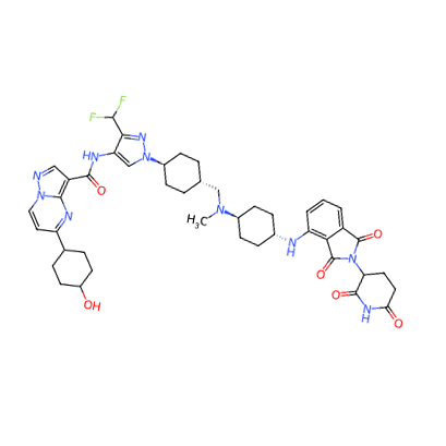 CN(C[C@H]1CC[C@H](n2cc(NC(=O)c3cnn4ccc(C5CCC(O)CC5)nc34)c(C(F)F)n2)CC1)[C@H]1CC[C@H](Nc2cccc3c2C(=O)N(C2CCC(=O)NC2=O)C3=O)CC1